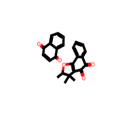 CC1OC2=C(C(=O)C(=O)c3ccccc32)C1(C)C.O=C1C=CC(=O)c2ccccc21